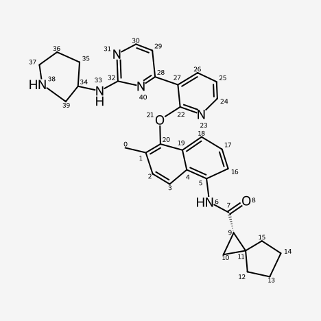 Cc1ccc2c(NC(=O)[C@H]3CC34CCCC4)cccc2c1Oc1ncccc1-c1ccnc(NC2CCCNC2)n1